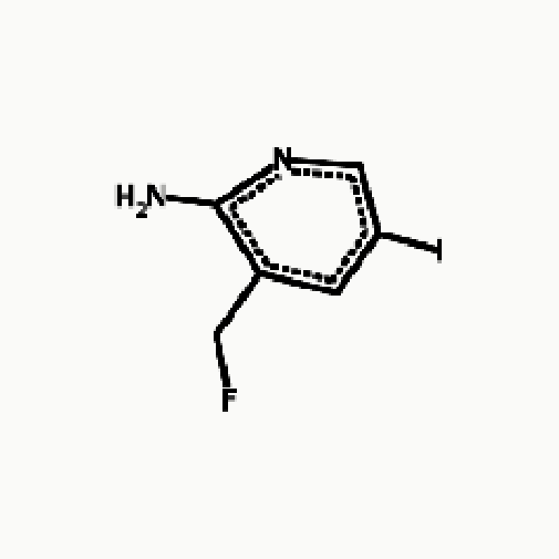 Nc1ncc(I)cc1CF